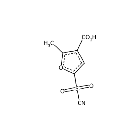 Cc1oc(S(=O)(=O)C#N)cc1C(=O)O